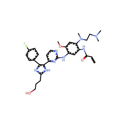 C=CC(=O)Nc1cc(Nc2nccc(-c3[nH]c(CCCO)nc3-c3ccc(F)cc3)n2)c(OC)cc1N(C)CCN(C)C